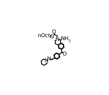 CCCCCCCCOC(=O)CN1CCc2cc(C(=O)c3ccc(C=NN4CCCCC4)cc3)ccc2C1N